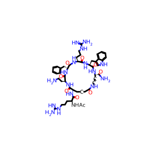 CC(=O)N[C@@H](CCCNC(=N)N)C(=O)N[C@H]1CCCC(=O)NCC[C@@H](C(N)=O)NC(=O)[C@H](Cc2c[nH]c3ccccc23)NC(=O)[C@H](CCCNC(=N)N)NC(=O)[C@@H](Cc2ccccc2)NC(=O)[C@H](CCN)NC1=O